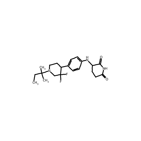 CCC(C)(C)N1CCC(c2ccc(NC3CCC(=O)NC3=O)cc2)C(F)(F)C1